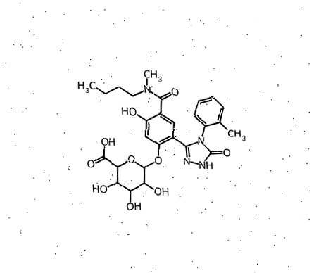 CCCCN(C)C(=O)c1cc(-c2n[nH]c(=O)n2-c2ccccc2C)c(OC2OC(C(=O)O)C(O)C(O)C2O)cc1O